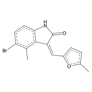 Cc1ccc(C=C2C(=O)Nc3ccc(Br)c(C)c32)o1